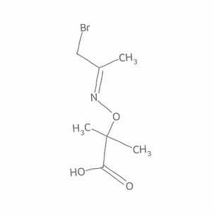 C/C(CBr)=N\OC(C)(C)C(=O)O